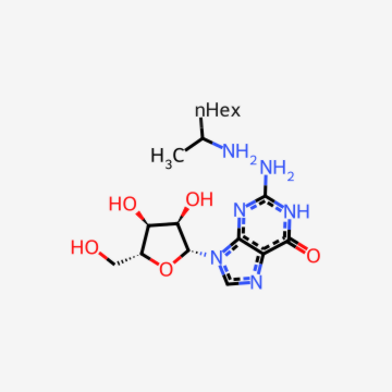 CCCCCCC(C)N.Nc1nc2c(ncn2[C@@H]2O[C@H](CO)[C@@H](O)[C@H]2O)c(=O)[nH]1